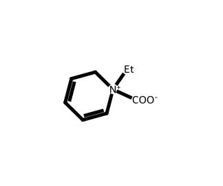 CC[N+]1(C(=O)[O-])C=CC=CC1